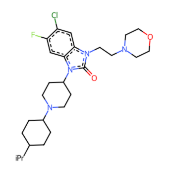 CC(C)C1CCC(N2CCC(n3c(=O)n(CCN4CCOCC4)c4cc(Cl)c(F)cc43)CC2)CC1